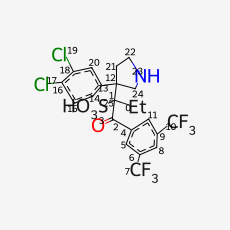 CCC(C(=O)c1cc(C(F)(F)F)cc(C(F)(F)F)c1)(C1(c2ccc(Cl)c(Cl)c2)CCNC1)S(=O)(=O)O